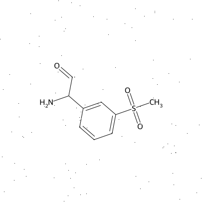 CS(=O)(=O)c1cccc(C(N)[C]=O)c1